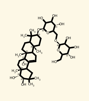 CC1(C)CC2C3=CCC4[C@@]5(C)CC[C@H](O[C@@H]6OC(CO[C@@H]7OC(CO)[C@@H](O)C(O)C7O)[C@@H](O)C(O)C6O)C(C)(C)C5CC[C@@]4(C)[C@]3(C)CC[C@@]2(C)[C@@H](O)[C@@H]1O